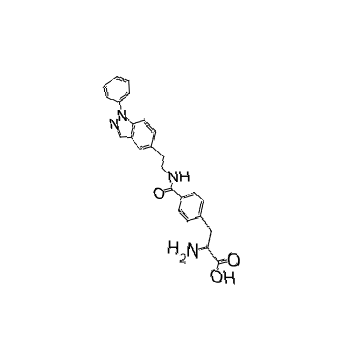 NC(Cc1ccc(C(=O)NCCc2ccc3c(cnn3-c3ccccc3)c2)cc1)C(=O)O